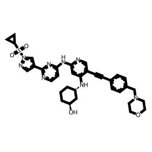 O=S(=O)(C1CC1)n1cc(-c2nccc(Nc3cc(N[C@H]4CCC[C@H](O)C4)c(C#Cc4ccc(CN5CCOCC5)cc4)cn3)n2)cn1